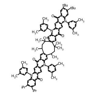 Cc1cc(C)cc(-n2c3cc(C(C)C)c(C(C)C)cc3c(=O)c3cc4c(cc32)c(=O)c2cc3c(cc2n4-c2cc(C)cc(C)c2)C(C)CC(C)(C)c2cc4c(=O)c5cc6c(cc5n(-c5cc(C)cc(C)c5)c4cc2C(C)(C)CC3C)c(=O)c2cc(C(C)(C)C)c(C(C)(C)C)cc2n6-c2cc(C)cc(C)c2)c1